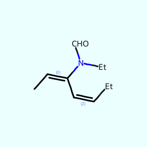 C/C=C(\C=C/CC)N(C=O)CC